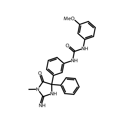 COc1cccc(NC(=O)Nc2cccc(C3(c4ccccc4)NC(=N)N(C)C3=O)c2)c1